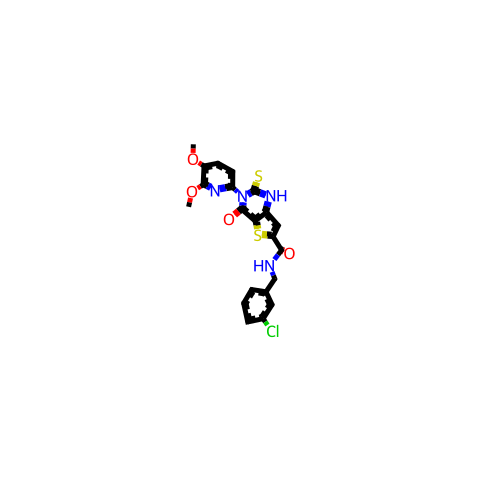 COc1ccc(-n2c(=S)[nH]c3cc(C(=O)NCc4cccc(Cl)c4)sc3c2=O)nc1OC